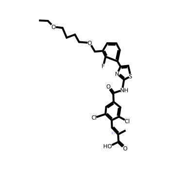 CCOCCCCOCc1cccc(-c2csc(NC(=O)c3cc(Cl)c(/C=C(\C)C(=O)O)c(Cl)c3)n2)c1F